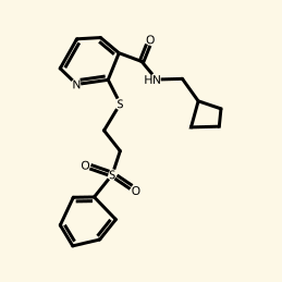 O=C(NCC1CCC1)c1cccnc1SCCS(=O)(=O)c1ccccc1